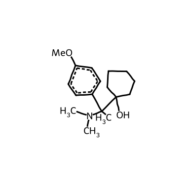 COc1ccc(C(C)(N(C)C)C2(O)CCCCC2)cc1